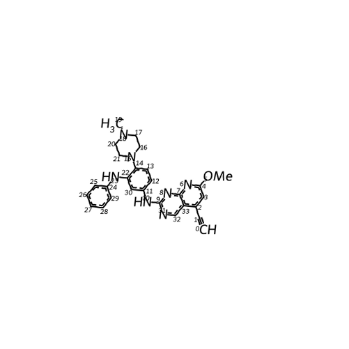 C#Cc1cc(OC)nc2nc(Nc3ccc(N4CCN(C)CC4)c(Nc4ccccc4)c3)ncc12